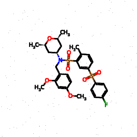 COc1ccc(CN([C@H]2C[C@@H](C)O[C@@H](C)C2)S(=O)(=O)c2cc(S(=O)(=O)c3ccc(F)cc3)ccc2C)c(OC)c1